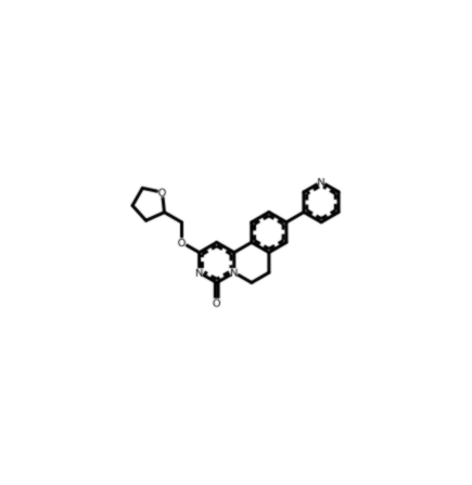 O=c1nc(OCC2CCCO2)cc2n1CCc1cc(-c3cccnc3)ccc1-2